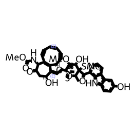 COC(=O)NC1C(=O)C[C@H](O)/C(=C/CS(C)(=S)=S)C2=C1C#C/C=C\C#C[C@@H]2OC1OC(C)C(SC)(C(=O)c2nccc3c2[nH]c2ccc(O)cc23)C(O)C1OC